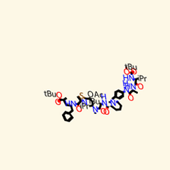 CCC(C)C(NC(=O)[C@H]1CCCC[N+]1(C)Cc1ccc(NC(=O)C(C)NC(=O)C(NC(=O)OC(C)(C)C)C(C)C)cc1)C(=O)N(C)C(CC(OC(C)=O)c1nc(C(=O)NC(Cc2ccccc2)CC(C)C(=O)OC(C)(C)C)cs1)C(C)C